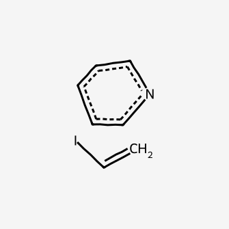 C=CI.c1ccncc1